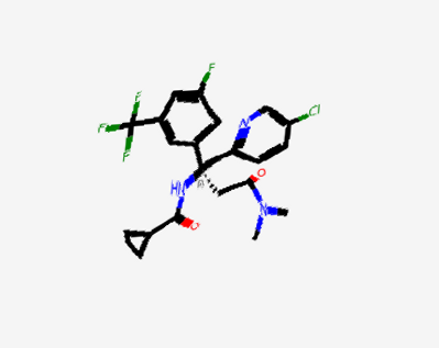 CN(C)C(=O)C[C@](NC(=O)C1CC1)(c1cc(F)cc(C(F)(F)F)c1)c1ccc(Cl)cn1